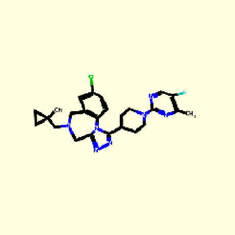 Cc1nc(N2CCC(c3nnc4n3-c3ccc(Cl)cc3CN(CC3(C#N)CC3)C4)CC2)ncc1F